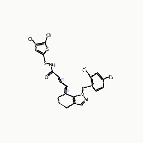 O=C(/C=C/C=C1\CCCc2cnn(Cc3ccc(Cl)cc3Cl)c21)NSc1cc(Cl)c(Cl)s1